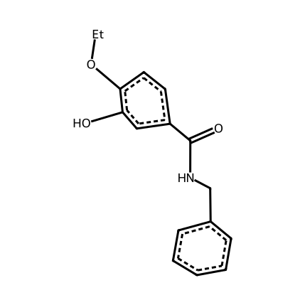 CCOc1ccc(C(=O)NCc2ccccc2)cc1O